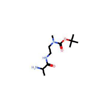 CC(N)C(=O)NCCN(C)C(=O)OC(C)(C)C